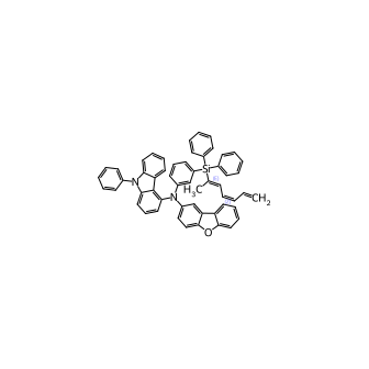 C=C/C=C\C=C(/C)[Si](c1ccccc1)(c1ccccc1)c1cccc(N(c2ccc3oc4ccccc4c3c2)c2cccc3c2c2ccccc2n3-c2ccccc2)c1